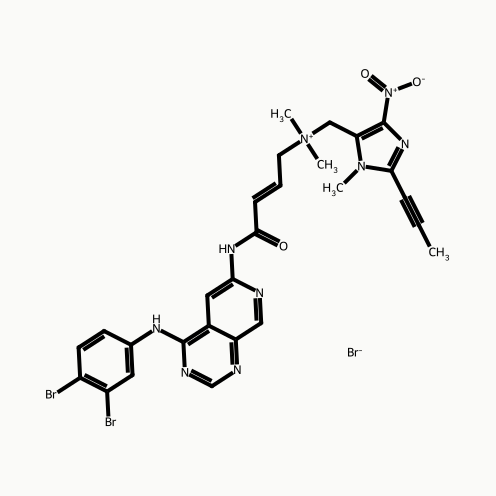 CC#Cc1nc([N+](=O)[O-])c(C[N+](C)(C)C/C=C/C(=O)Nc2cc3c(Nc4ccc(Br)c(Br)c4)ncnc3cn2)n1C.[Br-]